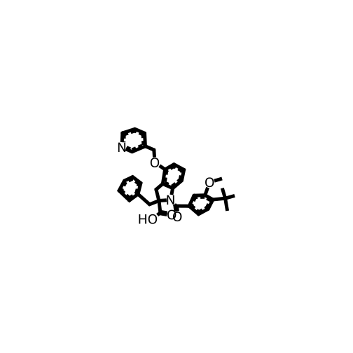 COc1cc(C(=O)N2c3cccc(OCc4cccnc4)c3CC2(Cc2ccccc2)C(=O)O)ccc1C(C)(C)C